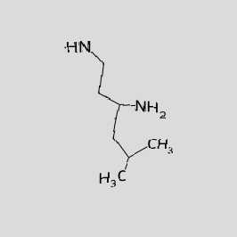 CC(C)CC(N)CC[NH]